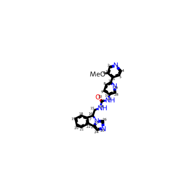 COc1cnccc1-c1ccc(NC(=O)NCC2c3ccccc3-c3cncn32)cn1